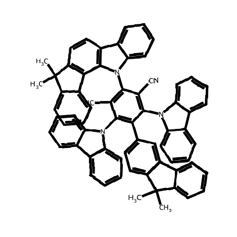 CC1(C)c2ccccc2-c2cc(-c3c(-n4c5ccccc5c5ccccc54)c(C#N)c(-n4c5ccccc5c5ccc6c(c54)-c4ccccc4C6(C)C)c(C#N)c3-n3c4ccccc4c4ccccc43)ccc21